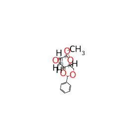 CO[C@H]1O[C@@H]2COC(c3ccccc3)O[C@@H]2[C@H]2O[C@@H]12